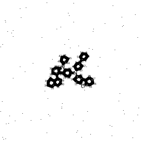 c1ccc(-c2ccc(N(c3ccc4oc5ccccc5c4c3)c3ccc4c5c(-c6cccc7ccccc67)cccc5n(-c5ccccc5)c4c3)cc2)cc1